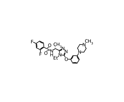 CCn1c(Oc2cccc(N3CCN(C)CC3)c2)nnc1[C@@H](C)NS(=O)(=O)c1ccc(F)cc1F